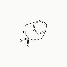 S=S1(=S)OCc2ccc(cc2)CO1